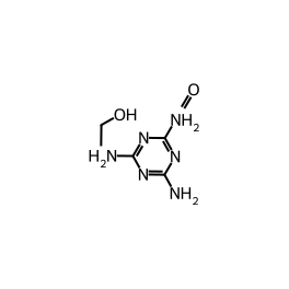 C=O.CCO.Nc1nc(N)nc(N)n1